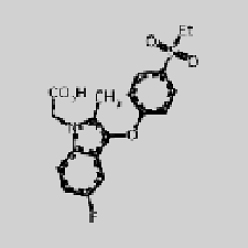 CCS(=O)(=O)c1ccc(Oc2c(C)n(CC(=O)O)c3ccc(F)cc23)cc1